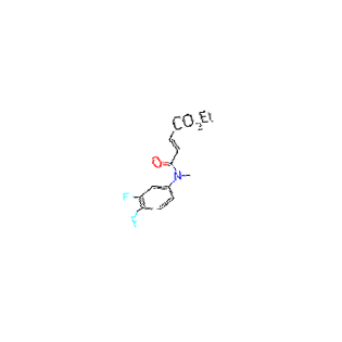 CCOC(=O)/C=C/C(=O)N(C)c1ccc(F)c(F)c1